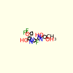 C[C@]1(O)CC[C@](O)(c2ncc(-c3cn4c5c(nc4cc3F)[C@H](O)C[C@@H]5c3ccccc3OC(F)F)cn2)CC1